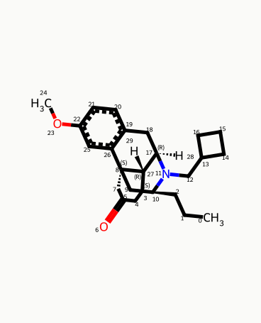 CCC[C@H]1CC(=O)C[C@]23CCN(CC4CCC4)[C@H](Cc4ccc(OC)cc42)[C@H]13